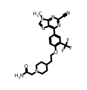 Cn1cnc2c(-c3ccc(OCCC4CCN(CC(N)=O)CC4)c(C(F)(F)F)c3)nc(C#N)nc21